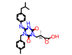 Cc1ccc(Cn2c(=O)n(C[C@H](C)C3OC3O)c(=O)[nH]/c2=N\c2ccc(CC(C)C)cc2)cc1